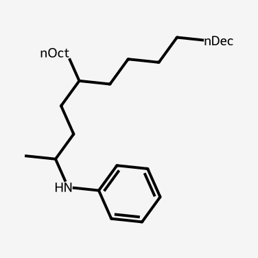 CCCCCCCCCCCCCCC(CCCCCCCC)CCC(C)Nc1ccccc1